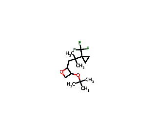 CC(C)(C)OC1COC1CC(C)(C)C1(C(F)(F)F)CC1